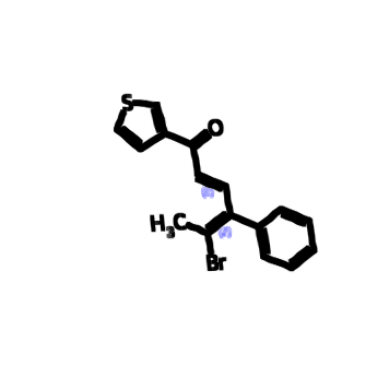 C/C(Br)=C(\C=C\C(=O)c1ccsc1)c1ccccc1